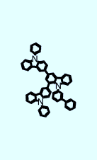 c1ccc(-c2cccc(-n3c4ccccc4c4cc(-c5ccc6c(c5)c5ccccc5n6-c5ccccc5)cc(-c5ccc6c(c5)c5ccccc5n6-c5ccccc5)c43)c2)cc1